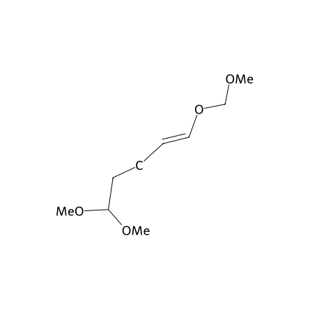 COCOC=CCCC(OC)OC